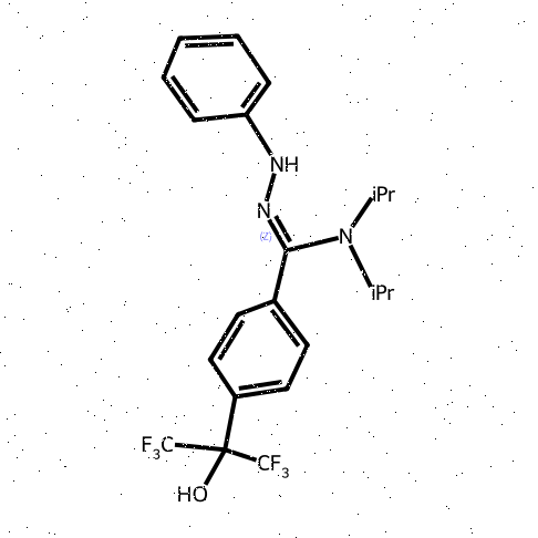 CC(C)N(/C(=N\Nc1ccccc1)c1ccc(C(O)(C(F)(F)F)C(F)(F)F)cc1)C(C)C